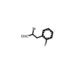 O=CC(Br)Cc1ccccc1F